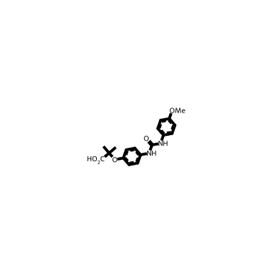 COc1ccc(NC(=O)Nc2ccc(OC(C)(C)C(=O)O)cc2)cc1